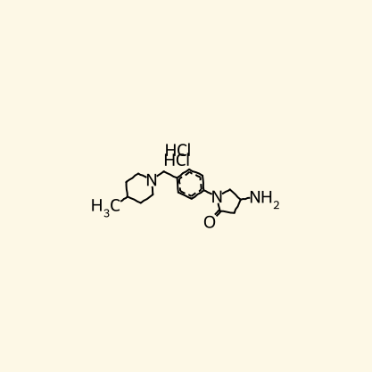 CC1CCN(Cc2ccc(N3CC(N)CC3=O)cc2)CC1.Cl.Cl